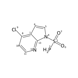 O=S(=O)(P)n1ccc2c(Cl)ccnc21